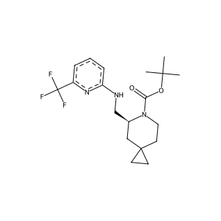 CC(C)(C)OC(=O)N1CCC2(CC2)C[C@H]1CNc1cccc(C(F)(F)F)n1